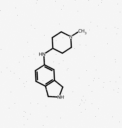 CN1CCC(Nc2ccc3c(c2)CNC3)CC1